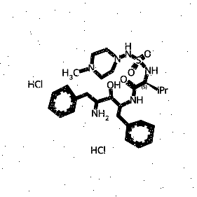 CC(C)[C@H](NS(=O)(=O)NN1CCN(C)CC1)C(=O)NC(Cc1ccccc1)C(O)C(N)Cc1ccccc1.Cl.Cl